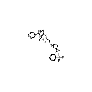 Cn1c(SCCCN2CC[C@]3(C[C@@H]3c3ccccc3C(F)(F)F)C2)nnc1-c1ccnnc1